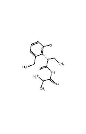 CCc1cccc(Cl)c1N(CC)C(=O)NC(=N)N(C)C